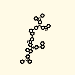 c1ccc(-n2c3ccccc3c3cc(-c4ccc(N(c5ccc(-c6cccc7ccccc67)cc5)c5ccc6oc7cc(-c8ccc9c(-c%10ccc(N(c%11ccc%12oc%13ccccc%13c%12c%11)c%11ccc%12c(c%11)c%11ccccc%11n%12-c%11ccccc%11)cc%10)cccc9c8)ccc7c6c5)c5ccccc45)ccc32)cc1